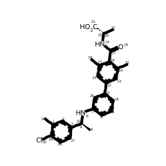 Cc1cc([C@H](C)Nc2cccc(-c3cc(C)c(C(=O)N[C@@H](C)C(=O)O)c(C)c3)c2)ccc1Cl